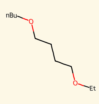 CCCCOCCCCOCC